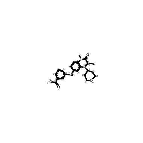 C[C@@H]1C(=O)N(C)c2ccc(Nc3cccc(C(=O)O)c3)cc2N1C1CCOCC1